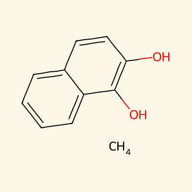 C.Oc1ccc2ccccc2c1O